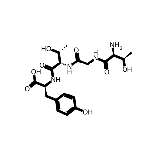 C[C@@H](O)[C@H](N)C(=O)NCC(=O)N[C@H](C(=O)N[C@@H](Cc1ccc(O)cc1)C(=O)O)[C@@H](C)O